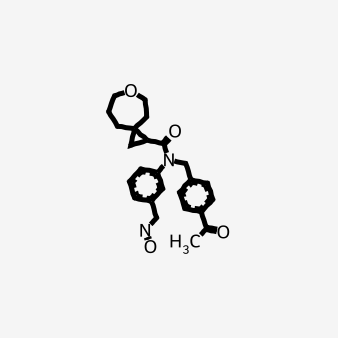 CC(=O)c1ccc(CN(C(=O)C2CC23CCCOCC3)c2cccc(CN=O)c2)cc1